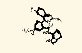 COc1ccc(-c2nc(N)nc3ccc(F)cc23)c(C(=O)Nc2cccc3cc[nH]c23)c1